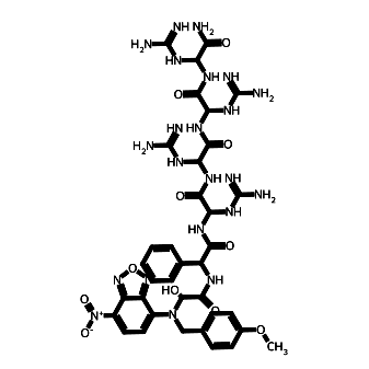 COc1ccc(CN(c2ccc([N+](=O)[O-])c3nonc23)C(O)C(=O)NC(C(=O)NC(NC(=N)N)C(=O)NC(NC(=N)N)C(=O)NC(NC(=N)N)C(=O)NC(NC(=N)N)C(N)=O)c2ccccc2)cc1